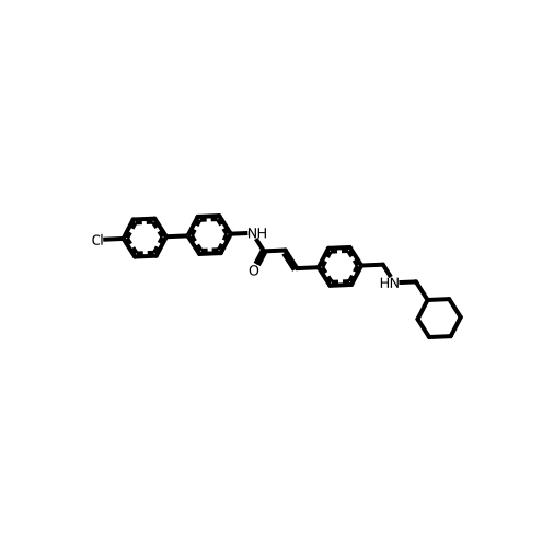 O=C(C=Cc1ccc(CNCC2CCCCC2)cc1)Nc1ccc(-c2ccc(Cl)cc2)cc1